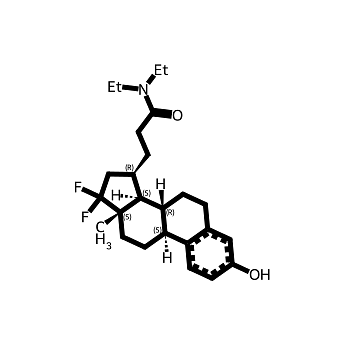 CCN(CC)C(=O)CC[C@@H]1CC(F)(F)[C@@]2(C)CC[C@@H]3c4ccc(O)cc4CC[C@H]3[C@H]12